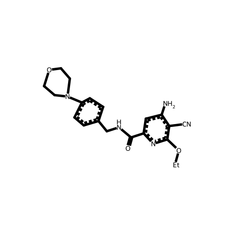 CCOc1nc(C(=O)NCc2ccc(N3CCOCC3)cc2)cc(N)c1C#N